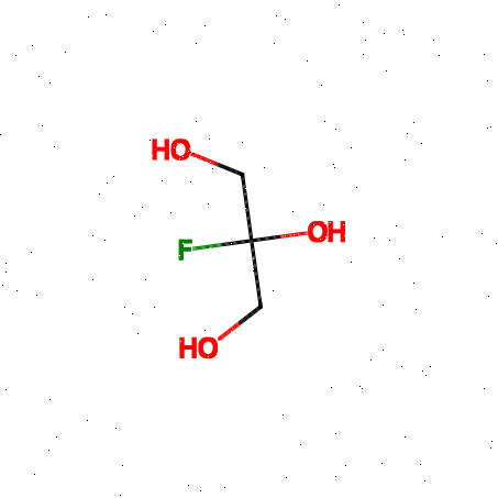 OCC(O)(F)CO